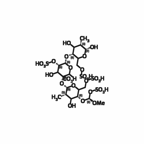 CO[C@@H](O[C@H]1C(COS(=O)(=O)O)O[C@@H](O[C@H]2C(C(=O)O)O[C@@H](O[C@H]3C(COS(=O)(=O)O)O[C@@H](O)[C@@H](C)C3O)[C@@H](OS(=O)(=O)O)C2O)[C@@H](C)C1O)OS(=O)(=O)O